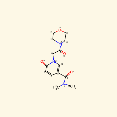 CN(C)C(=O)c1ccc(=O)n(CC(=O)N2CCOCC2)c1